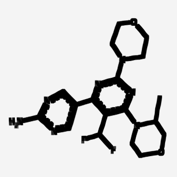 CC1COCCN1c1nc(N2CCOCC2)nc(-c2cnc(N)nc2)c1C(F)F